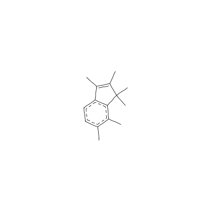 CC1=C(C)C(C)(C)c2c1ccc(C)c2C